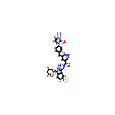 O=C(NCc1nn(C2CCCCO2)c2ccc(Cl)cc12)c1cncc(Cc2ccc(-n3cc[nH]c3=O)cc2)c1